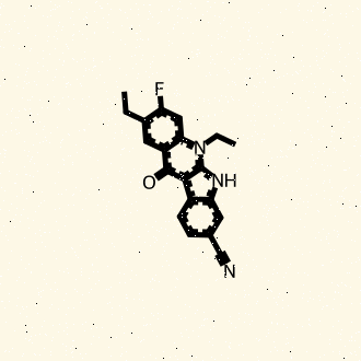 CCc1cc2c(=O)c3c4ccc(C#N)cc4[nH]c3n(CC)c2cc1F